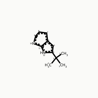 CC(C)(C)c1cc2cccnc2[nH]1